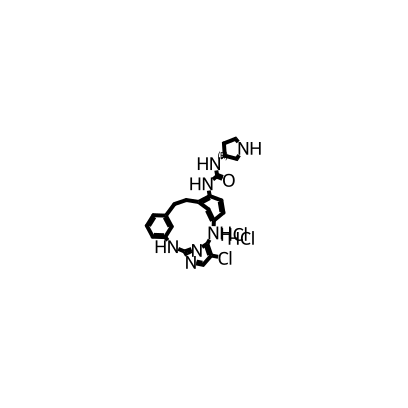 Cl.Cl.O=C(Nc1ccc2cc1CCc1cccc(c1)Nc1ncc(Cl)c(n1)N2)N[C@@H]1CCNC1